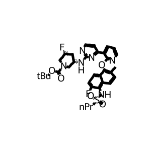 CCCS(=O)(=O)Nc1c(F)ccc2c(Oc3ncccc3-c3ccnc(N[C@H]4C[C@@H](F)CN(C(=O)OC(C)(C)C)C4)n3)c(C)ccc12